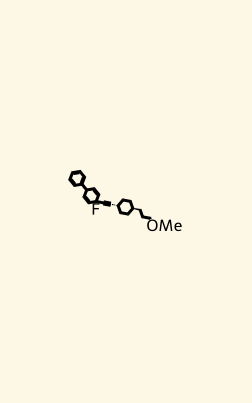 COCCC[C@H]1CC[C@H](C#CC2(F)C=CC(c3ccccc3)C=C2)CC1